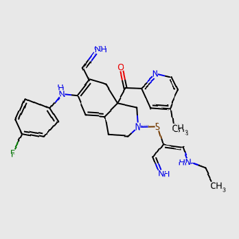 CCN/C=C(\C=N)SN1CCC2=CC(Nc3ccc(F)cc3)=C(C=N)CC2(C(=O)c2cc(C)ccn2)C1